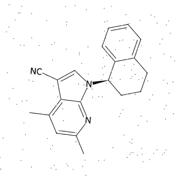 Cc1cc(C)c2c(C#N)cn([C@@H]3CCCc4ccccc43)c2n1